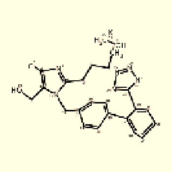 CCCCc1nc(Cl)c(CO)n1Cc1ccc(-c2ccccc2-c2nnn[n-]2)cc1.CO.[K+]